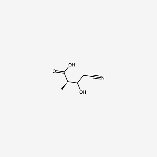 C[C@@H](C(=O)O)C(O)CC#N